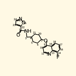 O=C(NCC1CCC(Oc2ccnc3c(F)cccc23)CC1)c1ccno1